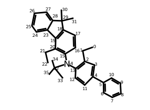 CCc1cc(-c2ccccc2)ccc1N(c1ccc2c(c1CC)-c1ccccc1C2(C)C)C(C)(C)C